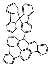 c1ccc2c(c1)-c1ccccc1C21c2ccccc2-c2ccc(N(c3ccc4ccccc4c3)c3cccc4c5ccccc5c5ccccc5c34)cc21